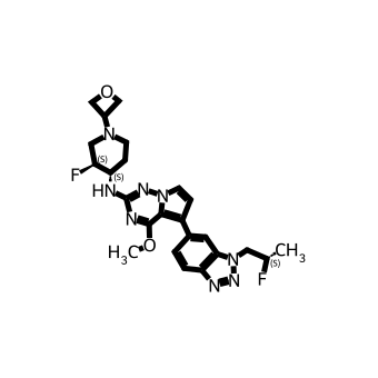 COc1nc(N[C@H]2CCN(C3COC3)C[C@@H]2F)nn2ccc(-c3ccc4nnn(C[C@H](C)F)c4c3)c12